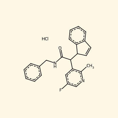 Cc1ncc(F)cc1C(C(=O)NCc1ccccc1)C1C=Cc2ccccc21.Cl